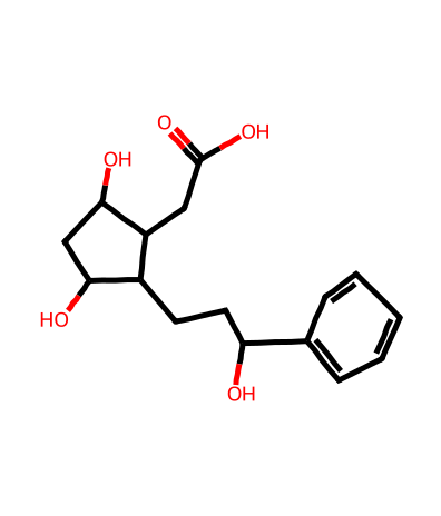 O=C(O)CC1C(O)CC(O)C1CCC(O)c1ccccc1